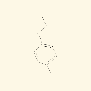 Clc1ccc(OCI)cc1